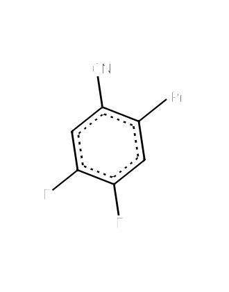 CC(C)c1cc(F)c(F)cc1C#N